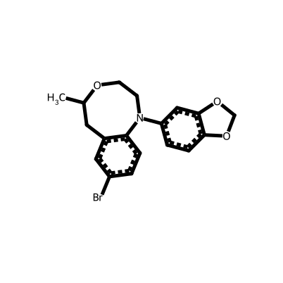 CC1Cc2cc(Br)ccc2N(c2ccc3c(c2)OCO3)CCO1